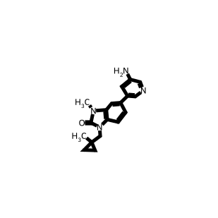 Cn1c(=O)n(CC2(C)CC2)c2ccc(-c3cncc(N)c3)cc21